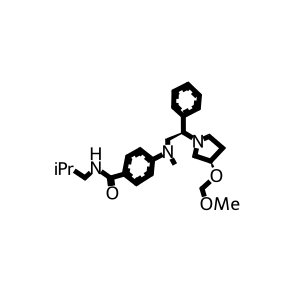 COCO[C@H]1CCN([C@@H](CN(C)c2ccc(C(=O)NCC(C)C)cc2)c2ccccc2)C1